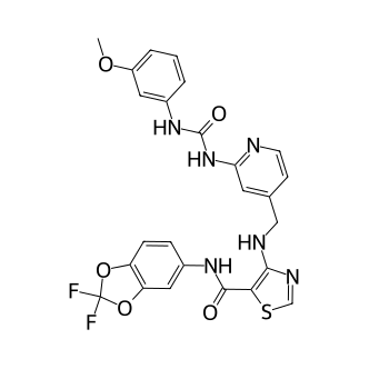 COc1cccc(NC(=O)Nc2cc(CNc3ncsc3C(=O)Nc3ccc4c(c3)OC(F)(F)O4)ccn2)c1